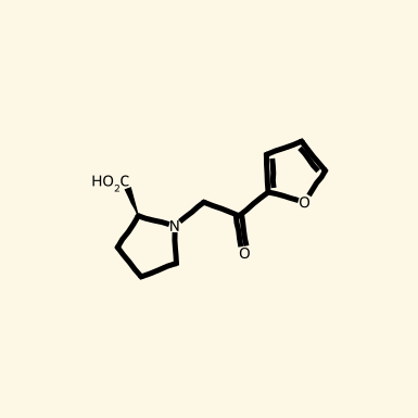 O=C(CN1CCC[C@H]1C(=O)O)c1ccco1